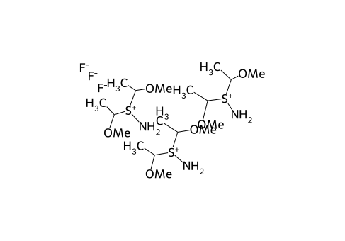 COC(C)[S+](N)C(C)OC.COC(C)[S+](N)C(C)OC.COC(C)[S+](N)C(C)OC.[F-].[F-].[F-]